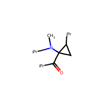 CC(C)C(=O)C1(N(C)C(C)C)CC1C(C)C